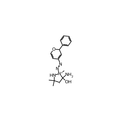 CC1(C)[CH]C(N)(O)[N+](C)(N=NC2=CC(c3ccccc3)OC=C2)N1